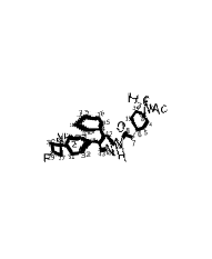 CC(=O)N(C)[C@H]1CC[C@H](CC(=O)Nc2cc(-c3ccccc3)c(-c3ccc([C@]4(N)C[C@H](F)C4)cc3)cn2)CC1